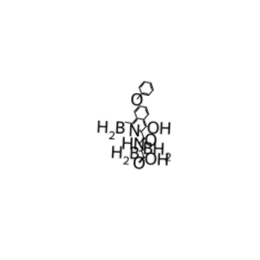 BCc1nc(C(=O)NC(B)(B)C(=O)O)c(O)c2ccc(Oc3ccccc3)cc12